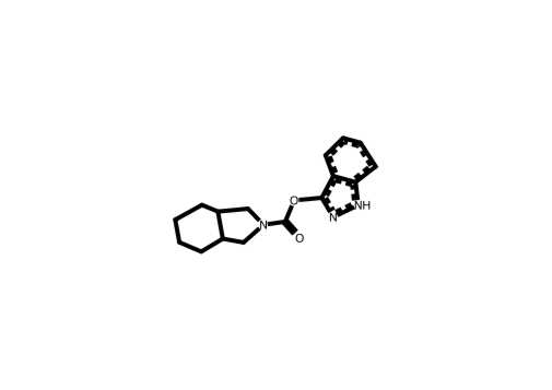 O=C(Oc1n[nH]c2ccccc12)N1CC2CCCCC2C1